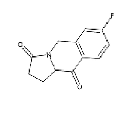 O=C1c2ccc(F)cc2CN2C(=O)CCC12